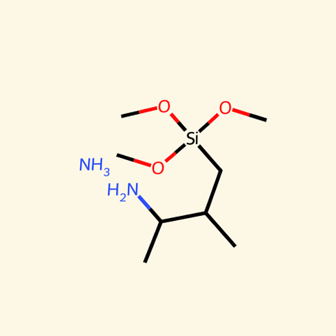 CO[Si](CC(C)C(C)N)(OC)OC.N